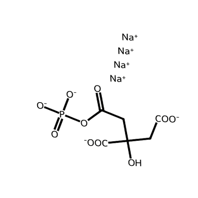 O=C([O-])CC(O)(CC(=O)OP(=O)([O-])[O-])C(=O)[O-].[Na+].[Na+].[Na+].[Na+]